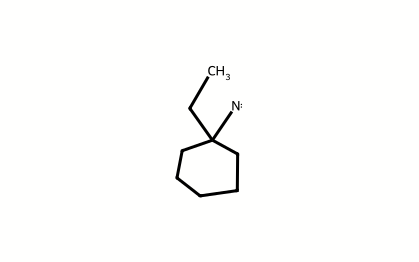 CCC1([N])CCCCC1